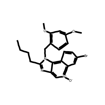 CCCCc1nc2c[n+]([O-])c3cc(Br)ccc3c2n1Cc1ccc(OC)cc1OC